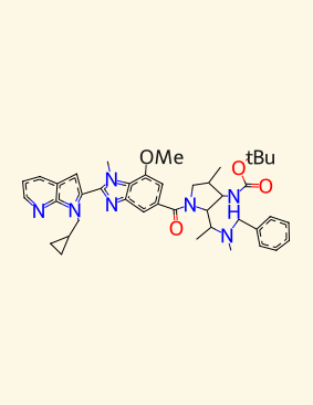 COc1cc(C(=O)N2CC(C)C(NC(=O)OC(C)(C)C)C2C(C)N(C)Cc2ccccc2)cc2nc(-c3cc4cccnc4n3CC3CC3)n(C)c12